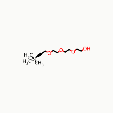 C[Si](C)(C)C#CCOCCOCCOCCO